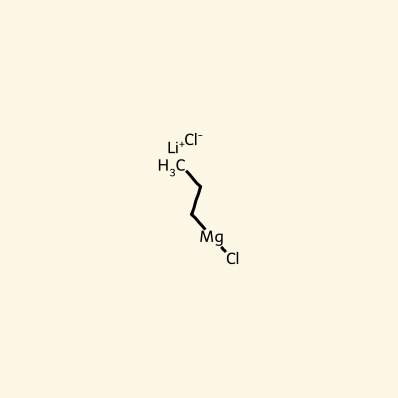 CC[CH2][Mg][Cl].[Cl-].[Li+]